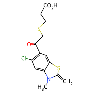 C=C1Sc2cc(C(=O)CSCCC(=O)O)c(Cl)cc2N1C